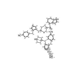 Cl.Cl.Cl.Cl.Cl.N#Cc1ccc(Cn2cncc2CN2CCN(C(=O)c3cccc4[nH]ccc34)CC2)cc1.N#Cc1ccc(Cn2cncc2CN2CCNCC2)cc1